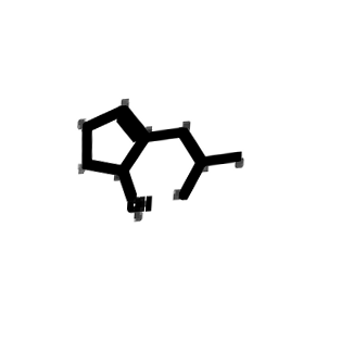 CC(C)CC1=CCCC1O